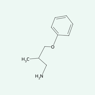 CC(CN)COc1ccccc1